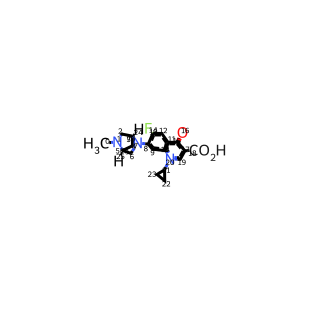 CN1C[C@H]2C[C@@H]1CN2c1cc2c(cc1F)c(=O)c(C(=O)O)cn2C1CC1